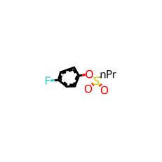 CCCS(=O)(=O)Oc1ccc(F)cc1